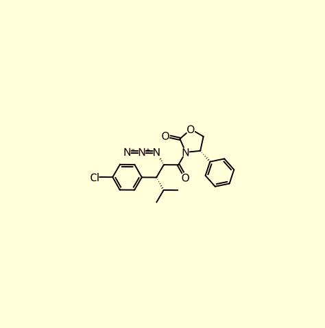 CC(C)[C@H](c1ccc(Cl)cc1)[C@H](N=[N+]=[N-])C(=O)N1C(=O)OC[C@@H]1c1ccccc1